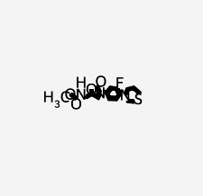 COC(=O)NCC1CN(c2ccc(N3CCCSCC3)c(F)c2)C(=O)O1